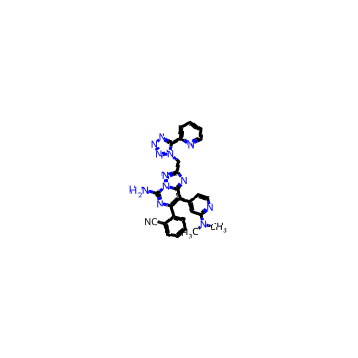 CN(C)c1cc(-c2c(-c3ccccc3C#N)nc(N)n3nc(Cn4nnnc4-c4ccccn4)nc23)ccn1